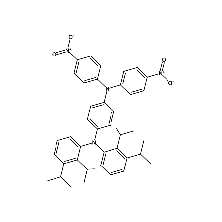 CC(C)c1cccc(N(c2ccc(N(c3ccc([N+](=O)[O-])cc3)c3ccc([N+](=O)[O-])cc3)cc2)c2cccc(C(C)C)c2C(C)C)c1C(C)C